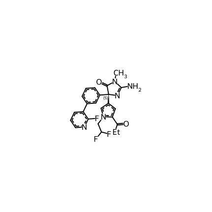 CCC(=O)c1cc([C@]2(c3cccc(-c4cccnc4F)c3)N=C(N)N(C)C2=O)cn1CC(F)F